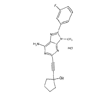 Cl.Cn1c(-c2cccc(F)c2)nc2c(N)nc(C#CC3(O)CCCC3)nc21